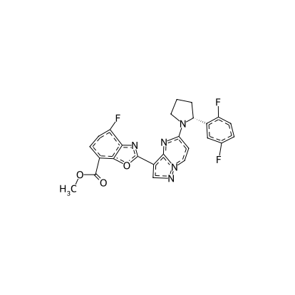 COC(=O)c1ccc(F)c2nc(-c3cnn4ccc(N5CCC[C@@H]5c5cc(F)ccc5F)nc34)oc12